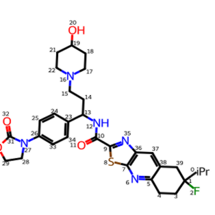 CC(C)C1(F)CCc2nc3sc(C(=O)NC(CCN4CCC(O)CC4)c4ccc(N5CCOC5=O)cc4)nc3cc2C1